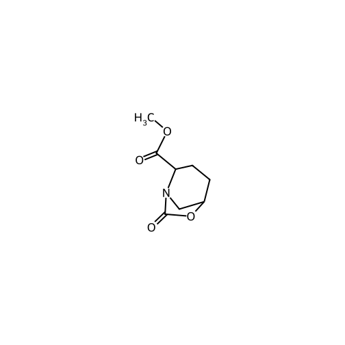 COC(=O)C1CCC2CN1C(=O)O2